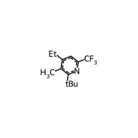 CCc1cc(C(F)(F)F)nc(C(C)(C)C)c1C